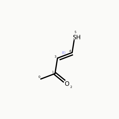 CC(=O)/C=C/S